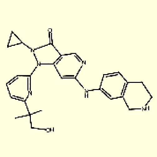 CC(C)(CO)c1cccc(-n2c3cc(Nc4ccc5c(c4)CNCC5)ncc3c(=O)n2C2CC2)n1